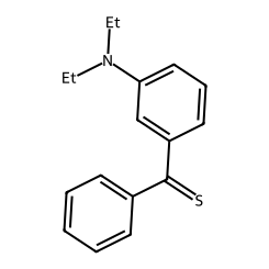 CCN(CC)c1cccc(C(=S)c2ccccc2)c1